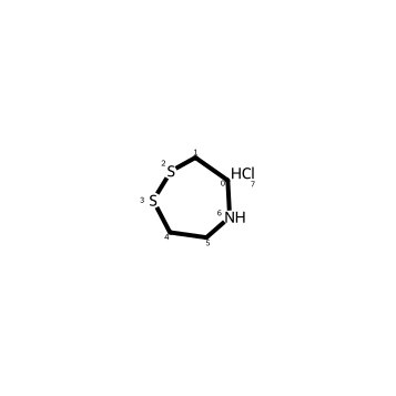 C1CSSCCN1.Cl